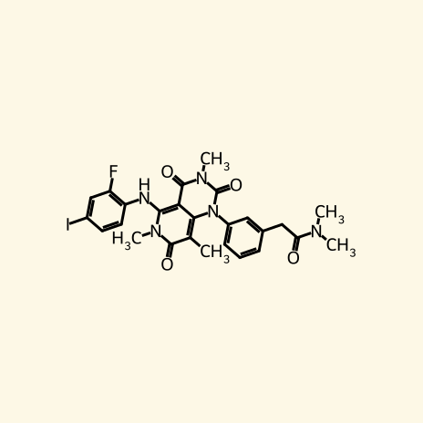 Cc1c(=O)n(C)c(Nc2ccc(I)cc2F)c2c(=O)n(C)c(=O)n(-c3cccc(CC(=O)N(C)C)c3)c12